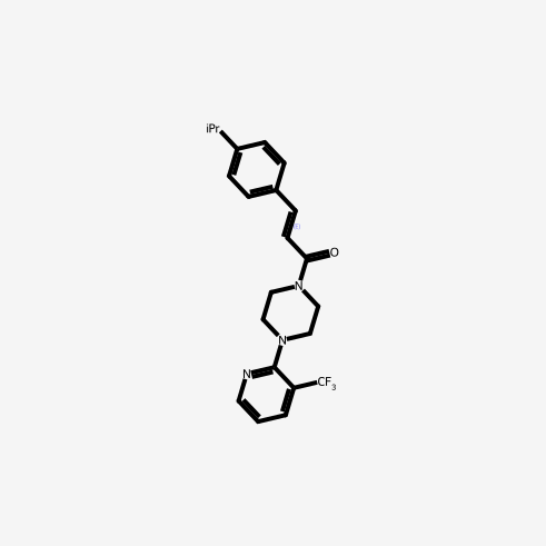 CC(C)c1ccc(/C=C/C(=O)N2CCN(c3ncccc3C(F)(F)F)CC2)cc1